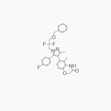 Cc1nn(CC(F)(F)COCc2ccccc2)c(-c2ccc(F)cc2)c1-c1ccc2c(c1C)NC(=O)CO2